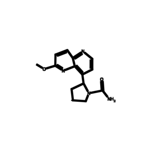 COc1ccc2nccc(C3C[CH]CN3C(N)=O)c2n1